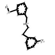 CCOc1cccc(CNCCc2cccc(C(F)(F)F)c2)c1